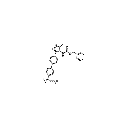 C/C=C\C(=C/C)COC(=O)Nc1c(C)noc1-c1ccc(-c2ccc(C3(C(=O)O)CC3)cc2)cc1